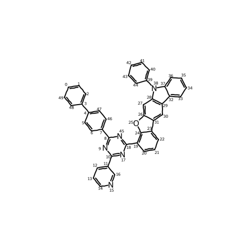 c1ccc(-c2ccc(-c3nc(-c4cccnc4)nc(-c4cccc5c4oc4cc6c(cc45)c4ccccc4n6-c4ccccc4)n3)cc2)cc1